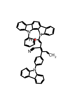 C=C/C(=C(C#N)\C=C(/C)n1c2ccccc2c2ccc3c4ccccc4n(-c4ccccc4)c3c21)c1ccc(-n2c3ccccc3c3ccccc32)cc1